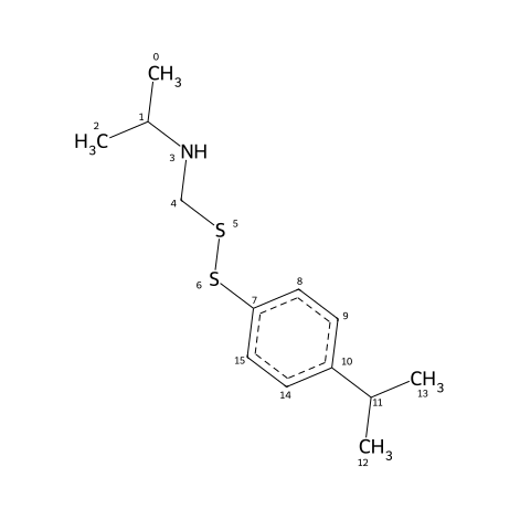 CC(C)NCSSc1ccc(C(C)C)cc1